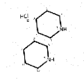 C1CCNCC1.C1CCNCC1.Cl